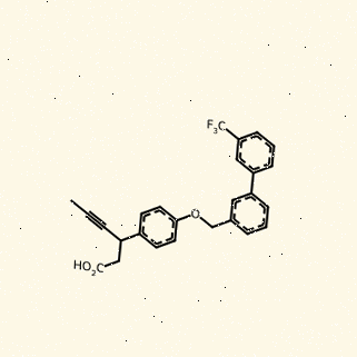 CC#CC(CC(=O)O)c1ccc(OCc2cccc(-c3cccc(C(F)(F)F)c3)c2)cc1